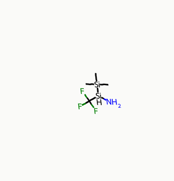 C[Si](C)(C)[SiH](N)C(F)(F)F